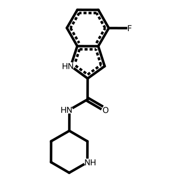 O=C(NC1CCCNC1)c1cc2c(F)cccc2[nH]1